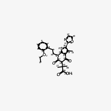 CCOc1ccccc1CCN1C(=O)C(C(C)(C)C(=O)O)C(=O)c2c1sc(-c1ncco1)c2C